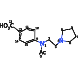 CC(=O)N(CCN1CCCC1)c1ccc(C(=O)O)cc1